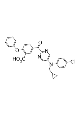 O=C(c1ccc(Oc2ccccc2)c(C(=O)O)c1)c1ncc(N(CC2CC2)c2ccc(Cl)cc2)cn1